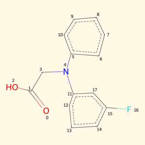 O=C(O)CN(c1ccccc1)c1cccc(F)c1